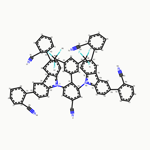 N#Cc1cc(-n2c3ccc(-c4ccccc4C#N)cc3c3cc(-c4ccccc4C#N)ccc32)c(-c2cc(C(F)(F)F)cc(C(F)(F)F)c2)c(-n2c3ccc(-c4ccccc4C#N)cc3c3cc(-c4ccccc4C#N)ccc32)c1